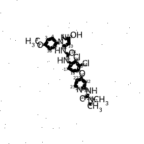 COc1ccc(-n2nc(O)cc2NC(=O)Nc2ccc(Oc3ccnc(NC(=O)N(C)C)c3)c(Cl)c2Cl)cc1